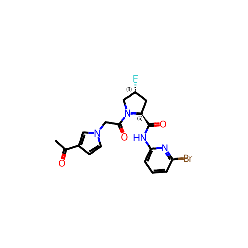 CC(=O)c1ccn(CC(=O)N2C[C@H](F)C[C@H]2C(=O)Nc2cccc(Br)n2)c1